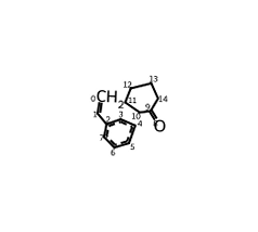 C=Cc1ccccc1.O=C1CCCCC1